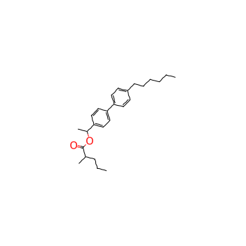 CCCCCCc1ccc(-c2ccc(C(C)OC(=O)C(C)CCC)cc2)cc1